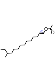 CCC(C)CCCCCCCCC/C=C/OC(C)=O